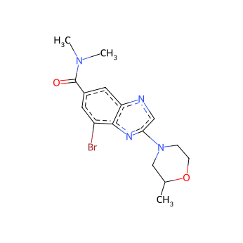 CC1CN(c2cnc3cc(C(=O)N(C)C)cc(Br)c3n2)CCO1